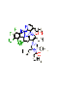 C=CC(=O)N1[C@H](C)CN(C2=C(C#N)C(O)N(c3c(C)ccnc3C(C)C)c3nc(-c4c(N)c(F)c(F)c(Cl)c4Cl)c(Cl)cc32)C[C@@H]1C